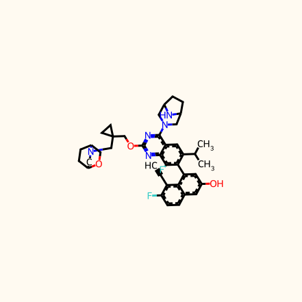 C#Cc1c(F)ccc2cc(O)cc(-c3c(C(C)C)cc4c(N5CC6CCC(C5)N6)nc(OCC5(CN6CC7CCC6CO7)CC5)nc4c3F)c12